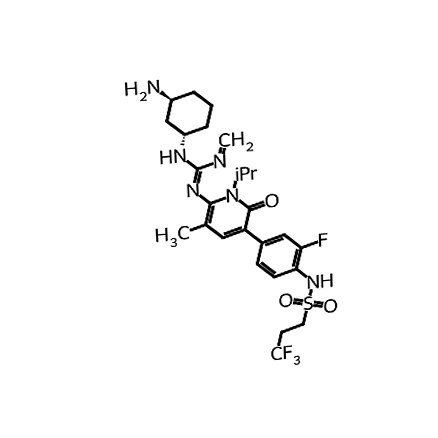 C=N/C(=N\c1c(C)cc(-c2ccc(NS(=O)(=O)CCC(F)(F)F)c(F)c2)c(=O)n1C(C)C)N[C@H]1CCC[C@H](N)C1